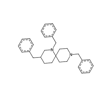 c1ccc(CC2CCC3(CCN(Cc4ccccc4)CC3)N(Cc3ccccc3)C2)cc1